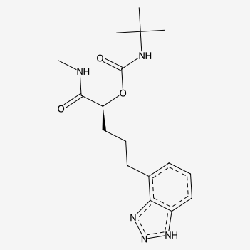 CNC(=O)[C@H](CCCc1cccc2[nH]nnc12)OC(=O)NC(C)(C)C